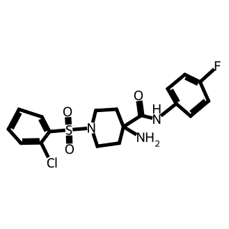 NC1(C(=O)Nc2ccc(F)cc2)CCN(S(=O)(=O)c2ccccc2Cl)CC1